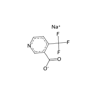 O=C([O-])c1cnccc1C(F)(F)F.[Na+]